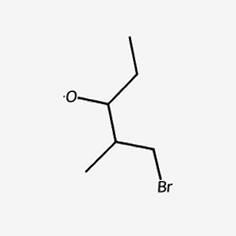 CCC([O])C(C)CBr